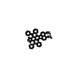 Cc1ccc2c3c(ccc(C)c13)-c1nc3c(N(c4ccccc4)c4ccccc4)c4nsnc4c(N(c4ccccc4)c4ccccc4)c3nc1-2